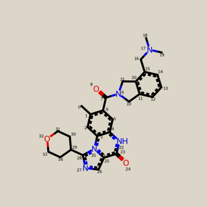 Cc1cc2c(cc1C(=O)N1Cc3cccc(CN(C)C)c3C1)[nH]c(=O)c1cnc(C3CCOCC3)n12